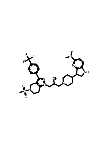 CN(C)c1ccc2c(n1)C(C1CCN(CC(O)Cn3nc(-c4ccc(C(F)(F)F)cc4)c4c3CCN(S(C)(=O)=O)C4)CC1)CN2